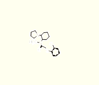 CN(C(=O)COc1ccccc1Cl)C1CCCCC1N1CCCC1